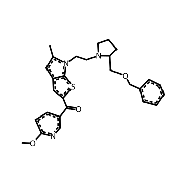 COc1ccc(C(=O)c2cc3cc(C)n(CCN4CCCC4COCc4ccccc4)c3s2)cn1